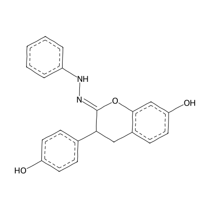 Oc1ccc(C2Cc3ccc(O)cc3OC2=NNc2ccccc2)cc1